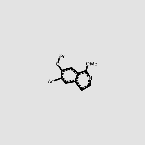 COc1nccc2cc(C(C)=O)c(OC(C)C)cc12